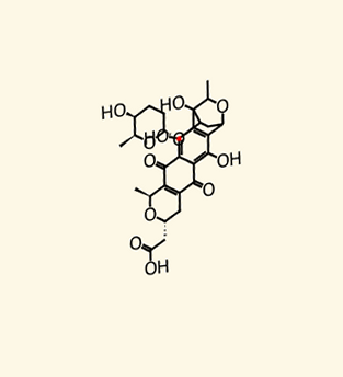 CC1OC2CC(O[C@H]3CC[C@H](O)[C@H](C)O3)C1(O)c1c(O)c3c(c(O)c12)C(=O)C1=C(C3=O)[C@H](C)O[C@@H](CC(=O)O)C1